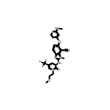 CNc1cc(Oc2ccc3nc(Nc4cc(C(F)(F)F)cn(CCOC)c4=O)n(C)c3c2C#N)ccn1